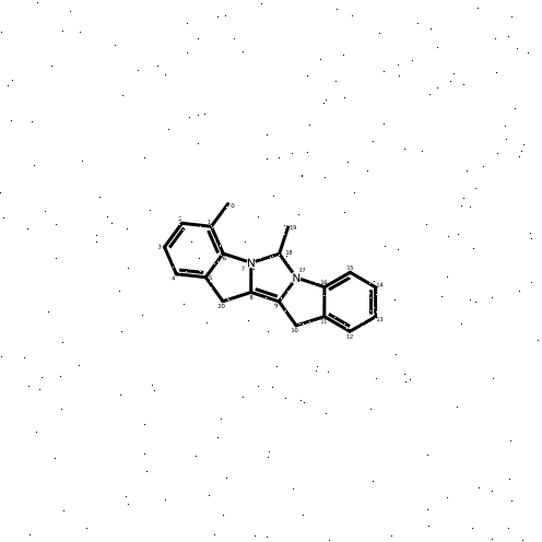 Cc1cccc2c1N1C(=C3Cc4ccccc4N3C1C)C2